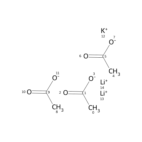 CC(=O)[O-].CC(=O)[O-].CC(=O)[O-].[K+].[Li+].[Li+]